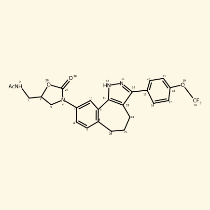 CC(=O)NCC1CN(c2ccc3c(c2)-c2[nH]nc(-c4ccc(OC(F)(F)F)cc4)c2CCC3)C(=O)O1